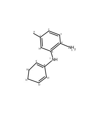 Cc1ccc(N)c(NC2=CCCC=C2)c1